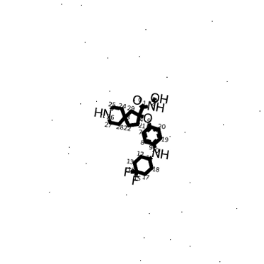 O=C(NO)C1(Oc2ccc(NC3CCC(F)(F)CC3)cc2)CCC2(CCNCC2)C1